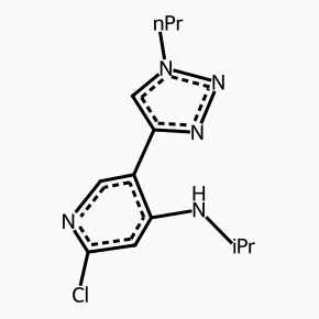 CCCn1cc(-c2cnc(Cl)cc2NC(C)C)nn1